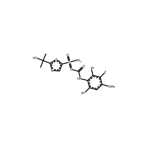 CSc1cc(C(C)C)c(NC(=O)N=S(N)(=O)c2cnc(C(C)(C)O)s2)c(C(C)C)c1F